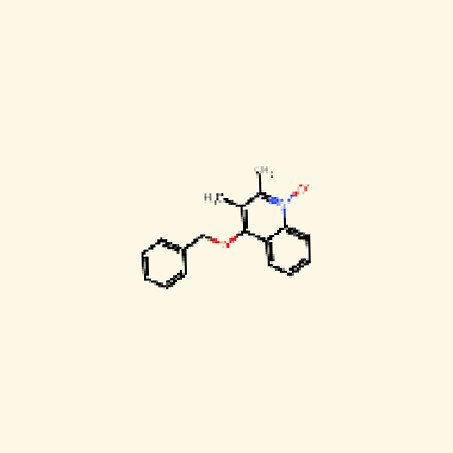 Cc1c(OCc2ccccc2)c2ccccc2[n+]([O-])c1C